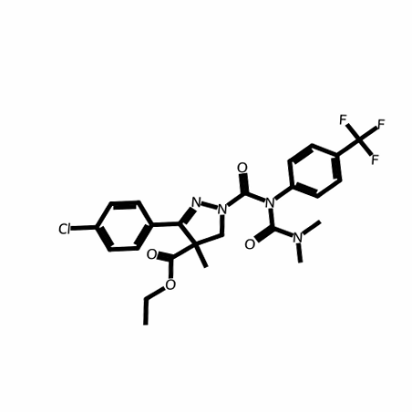 CCOC(=O)C1(C)CN(C(=O)N(C(=O)N(C)C)c2ccc(C(F)(F)F)cc2)N=C1c1ccc(Cl)cc1